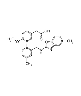 COc1ccc(CC(=O)O)cc1-c1ccc(C)cc1CNc1nc2cc(C)ccc2o1